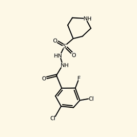 O=C(NNS(=O)(=O)C1CCNCC1)c1cc(Cl)cc(Cl)c1F